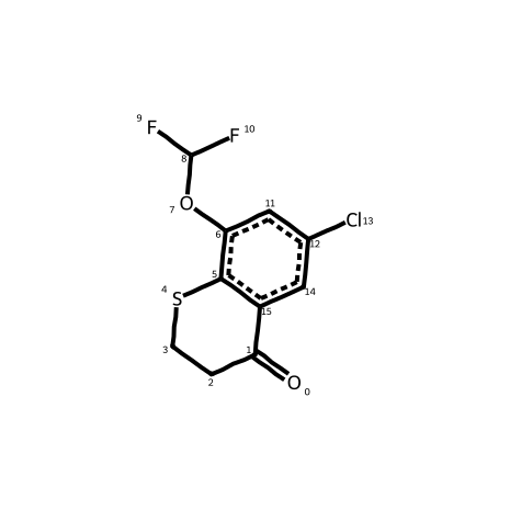 O=C1CCSc2c(OC(F)F)cc(Cl)cc21